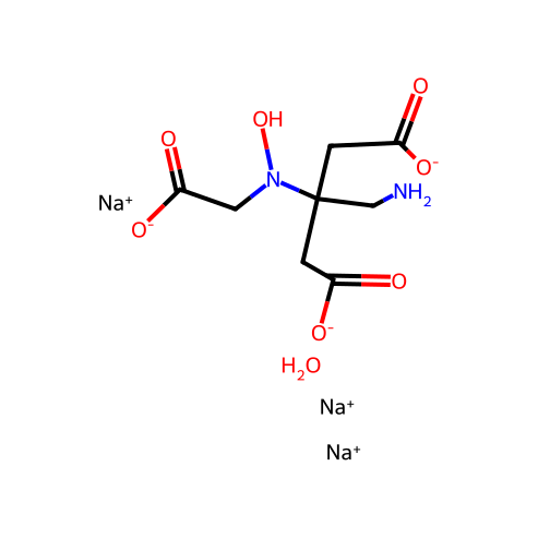 NCC(CC(=O)[O-])(CC(=O)[O-])N(O)CC(=O)[O-].O.[Na+].[Na+].[Na+]